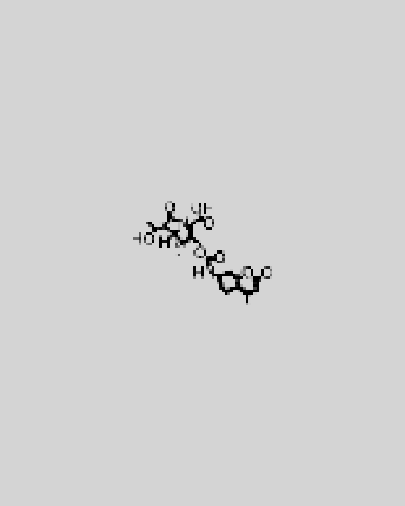 Cc1cc(=O)oc2cc(NC(=O)OCC3=C(C(=O)O)N4C(=O)[C@H](C(C)O)[C@H]4[C@H]3C)ccc12